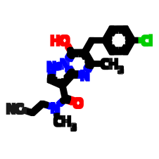 Cc1nc2c(C(=O)N(C)CCC#N)cnn2c(O)c1Cc1ccc(Cl)cc1